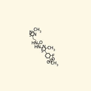 Cc1nsc(CCNC(=O)Nc2nc(C)c(-c3ccc(S(C)(=O)=O)c(F)c3)s2)n1